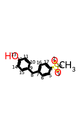 CS(=O)(=O)c1ccc(Cc2ccc(O)cc2)cc1